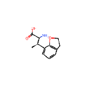 C[C@H](c1cccc2c1OCC2)[C@H](N)C(=O)O